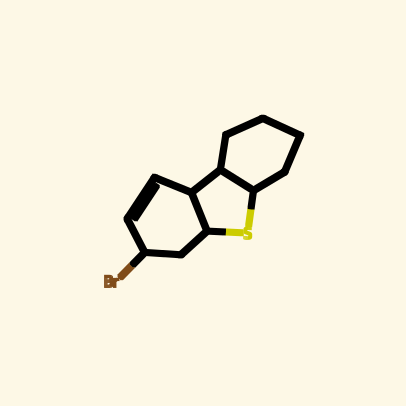 BrC1C=CC2C(C1)SC1CCCCC12